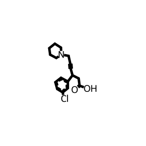 O=C(O)CC(C#CCN1CCCCC1)c1cccc(Cl)c1